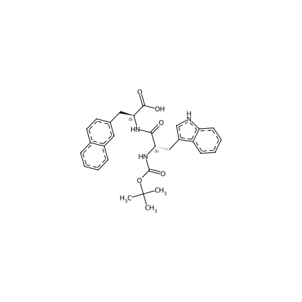 CC(C)(C)OC(=O)N[C@@H](Cc1c[nH]c2ccccc12)C(=O)N[C@@H](Cc1ccc2ccccc2c1)C(=O)O